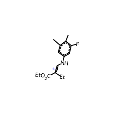 CCOC(=O)/C(=C/Nc1cc(C)c(C)c(F)c1)CC